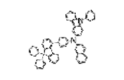 c1ccc(-n2c3ccccc3c3cc(N(c4ccc(-c5cccc6c5-c5ccccc5C6(c5ccccc5)c5ccccc5)cc4)c4ccc5ccccc5c4)ccc32)cc1